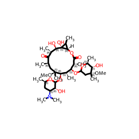 CO[C@]1(C)CC(O[C@H]2[C@H](C)[C@@H](OC3O[C@H](C)C[C@H](N(C)C)[C@H]3O)[C@@](C)(OC)C[C@@H](C)C(=O)[C@H](C)[C@@H](O)[C@@]3(O)C(C)[C@H]3OC(=O)[C@@H]2C)O[C@@H](C)[C@@H]1O